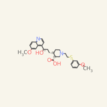 COc1cccc(SCCN2CC[C@@H](CC[C@@H](O)c3ccnc4ccc(OC)cc34)[C@@H](C(=O)O)C2)c1